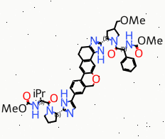 COCC1C[C@@H](c2nc3c([nH]2)-c2cc4c(cc2CC3)-c2ccc(-c3cnc([C@@H]5CCCN5C(=O)[C@@H](NC(=O)OC)C(C)C)[nH]3)cc2CO4)N(C(=O)[C@H](NC(=O)OC)c2ccccc2)C1